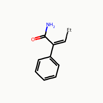 CC/C=C(\C(N)=O)c1ccccc1